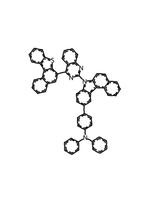 c1ccc(N(c2ccccc2)c2ccc(-c3ccc4c(c3)c3c5ccccc5ccc3n4-c3nc(-c4cc5ccccc5c5c4sc4ccccc45)c4ccccc4n3)cc2)cc1